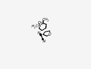 C1CCOC1.CC1CCCC[Si]1(C)C.N#CC#N